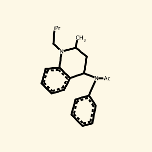 CC(=O)N(c1ccccc1)C1CC(C)N(CC(C)C)c2ccccc21